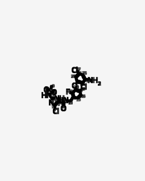 CS(=O)(=O)Nc1nc(Cl)c(C(=O)NCc2ccc(Cl)c(Oc3cc(N)cc(Cl)c3)c2F)[nH]1